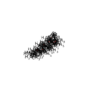 CCO[Si](OCC)(OCC)O[Si](C)(C)O[Si](C)(C)O[Si](C)(C)O[Si](C)(C)O[Si](C)(C)O[Si](C)(C)O[Si](C)(C)O[Si](C)(C)O[Si](C)(C)O[Si](C)(C)O[Si](C)(C)O[Si](C)(C)O[Si](C)(C)O[Si](C)(C)O[Si](C)(C)O[Si](C)(C)O[Si](C)(C)O[Si](C)(C)O[Si](C)(C)O[Si](C)(C)O[Si](C)(C)O[Si](C)(C)O[Si](C)(C)O[Si](C)(C)O[Si](O[Si](C)(C)C)(O[Si](C)(C)C)O[Si](C)(C)C